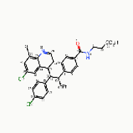 CCC[C@H](c1ccc(C(=O)NCCC(=O)O)cc1)[C@@H](c1ccc(Cl)cc1)C1CC=Nc2c(C)cc(Cl)cc21